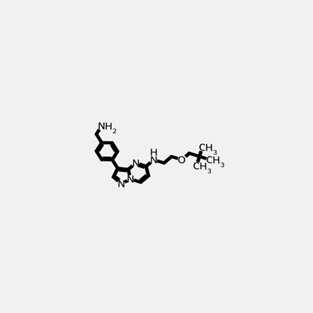 CC(C)(C)COCCNc1ccn2ncc(-c3ccc(CN)cc3)c2n1